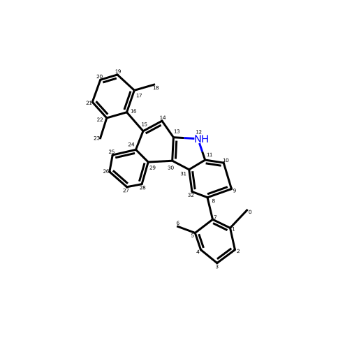 Cc1cccc(C)c1-c1ccc2[nH]c3cc(-c4c(C)cccc4C)c4ccccc4c3c2c1